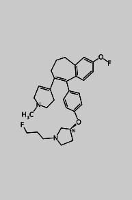 CN1CC=C(C2=C(c3ccc(O[C@H]4CCN(CCCF)C4)cc3)c3ccc(OF)cc3CCC2)CC1